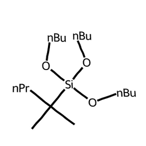 CCCCO[Si](OCCCC)(OCCCC)C(C)(C)CCC